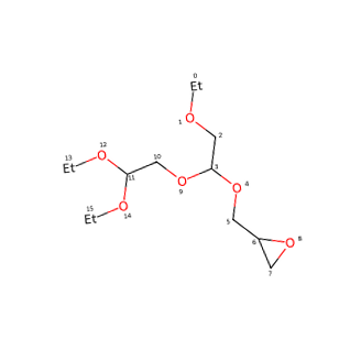 CCOCC(OCC1CO1)OCC(OCC)OCC